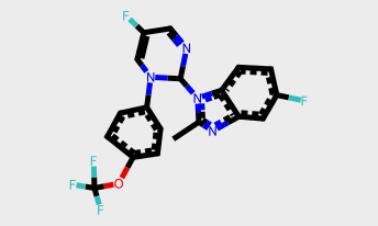 Cc1nc2cc(F)ccc2n1C1N=CC(F)=CN1c1ccc(OC(F)(F)F)cc1